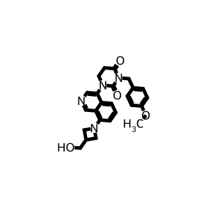 COc1ccc(CN2C(=O)CCN(c3cncc4c(N5CC(CO)C5)cccc34)C2=O)cc1